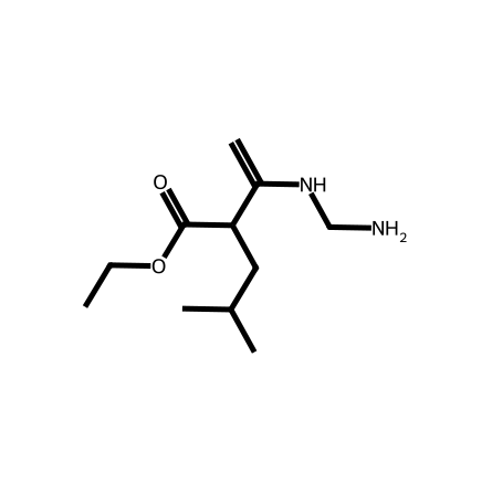 C=C(NCN)C(CC(C)C)C(=O)OCC